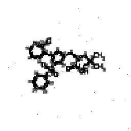 CC(C)(C)CN(Cc1cc(-c2cccnc2Cl)n(S(=O)(=O)c2ccccc2)c1)C(=O)O